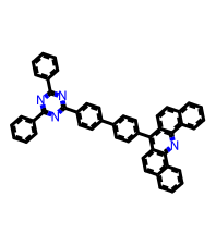 c1ccc(-c2nc(-c3ccccc3)nc(-c3ccc(-c4ccc(-c5c6ccc7ccccc7c6nc6c5ccc5ccccc56)cc4)cc3)n2)cc1